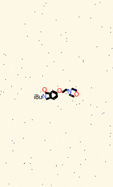 CCC(C)N1Cc2ccc(OCCN3CCOCC3)cc2C1=O